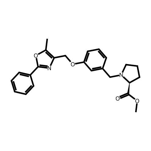 COC(=O)[C@@H]1CCCN1Cc1cccc(OCc2nc(-c3ccccc3)oc2C)c1